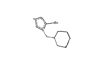 CCCCc1cncn1CC1CCCCC1